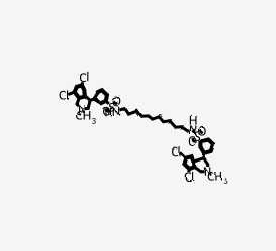 CN1Cc2c(Cl)cc(Cl)cc2C(c2cccc(S(=O)(=O)NCCCCCCCCCCCCNS(=O)(=O)c3cccc(C4CN(C)Cc5c(Cl)cc(Cl)cc54)c3)c2)C1